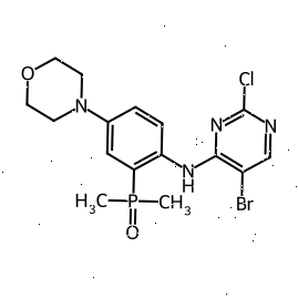 CP(C)(=O)c1cc(N2CCOCC2)ccc1Nc1nc(Cl)ncc1Br